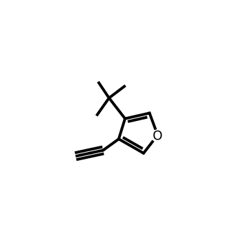 C#Cc1cocc1C(C)(C)C